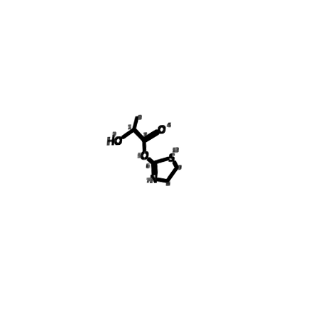 CC(O)C(=O)OC1=NCCS1